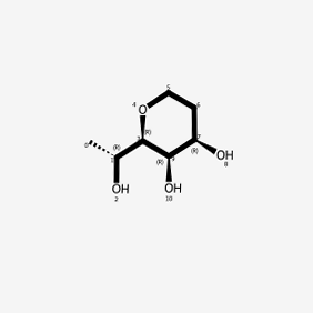 C[C@@H](O)[C@H]1OCC[C@@H](O)[C@H]1O